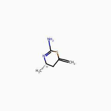 C=C1C[C@H](C)N=C(N)S1